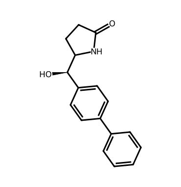 O=C1CCC([C@H](O)c2ccc(-c3ccccc3)cc2)N1